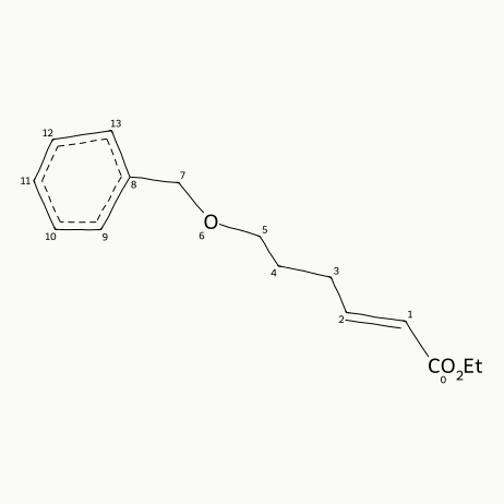 CCOC(=O)/C=C/CCCOCc1ccccc1